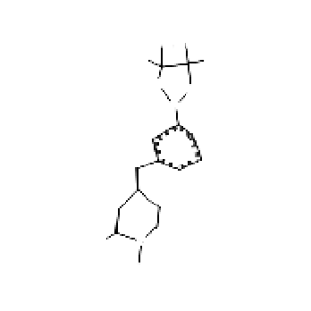 CC(C)(C)C1CC(Cc2cccc(B3OC(C)(C)C(C)(C)O3)c2)CCN1C(=O)O